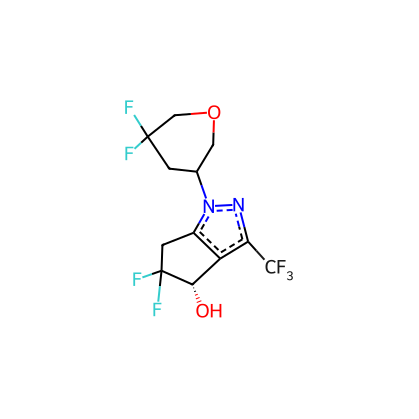 O[C@H]1c2c(C(F)(F)F)nn(C3COCC(F)(F)C3)c2CC1(F)F